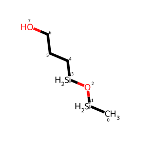 C[SiH2]O[SiH2]CCCO